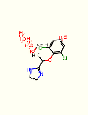 CC(Oc1c(Cl)cccc1Cl)C1=NCCN1.O.O.O.O.O.O=S(=O)(O)O